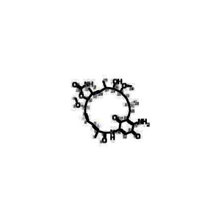 CO[C@H]1/C=C\C=C(/C)C(=O)NC2=CC(=O)C(N)=C(C[C@@H](C)C[C@H](OC)[C@H](O)C(C)/C=C(\C)[C@@H]1OC(N)=O)C2=O